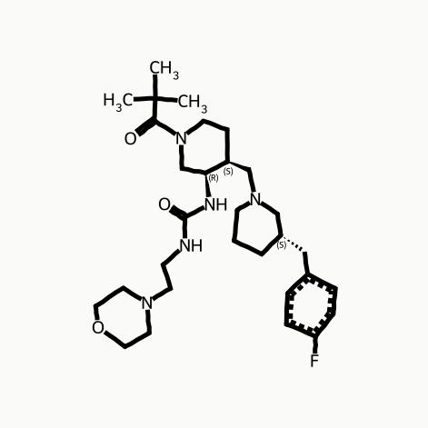 CC(C)(C)C(=O)N1CC[C@@H](CN2CCC[C@@H](Cc3ccc(F)cc3)C2)[C@@H](NC(=O)NCCN2CCOCC2)C1